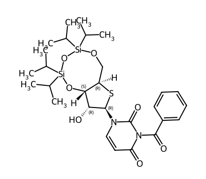 CC(C)[Si]1(C(C)C)OC[C@H]2S[C@@H](n3ccc(=O)n(C(=O)c4ccccc4)c3=O)[C@H](O)[C@@H]2O[Si](C(C)C)(C(C)C)O1